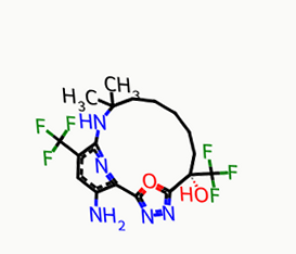 CC1(C)CCCCC[C@@](O)(C(F)(F)F)c2nnc(o2)-c2nc(c(C(F)(F)F)cc2N)N1